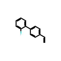 C=Cc1ccc(-c2ccccc2F)cc1